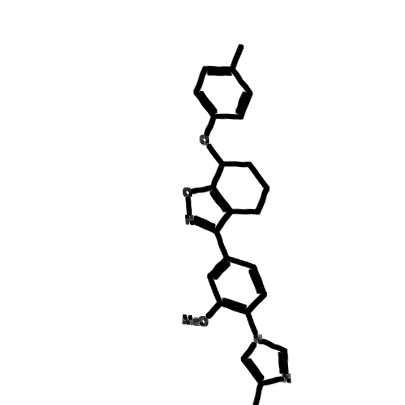 COc1cc(-c2noc3c2CCCC3Oc2ccc(C)cc2)ccc1-n1cnc(C)c1